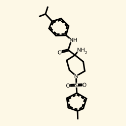 Cc1ccc(S(=O)(=O)N2CCC(N)(C(=O)Nc3ccc(C(C)C)cc3)CC2)cc1